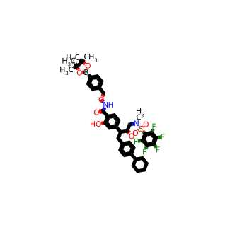 CN(CC(=O)C(Cc1ccc(C2CCCCC2)cc1)c1ccc(C(=O)NOCc2ccc(B3OC(C)(C)C(C)(C)O3)cc2)c(O)c1)S(=O)(=O)c1c(F)c(F)c(F)c(F)c1F